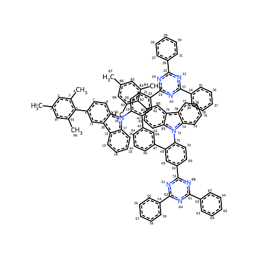 Cc1cc(C)c(-c2ccc3c(c2)c2ccccc2n3-c2ccc(-c3nc(-c4ccccc4)nc(-c4ccccc4)n3)cc2-c2cccc(-c3cc(-c4nc(-c5ccccc5)nc(-c5ccccc5)n4)ccc3-n3c4ccccc4c4cc(-c5c(C)cc(C)cc5C)ccc43)c2)c(C)c1